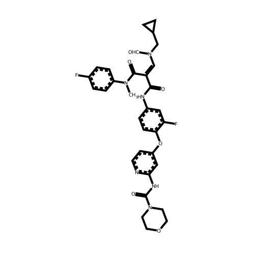 CN(C(=O)/C(=C\N(C=O)CC1CC1)C(=O)Nc1ccc(Oc2ccnc(NC(=O)N3CCOCC3)c2)c(F)c1)c1ccc(F)cc1